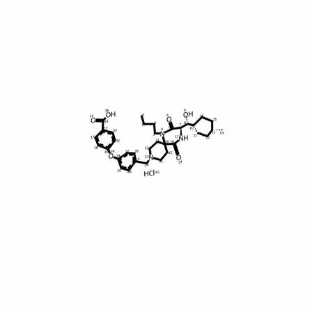 CCCCN1C(=O)[C@@H]([C@H](O)[C@H]2CC[C@@H](C)CC2)NC(=O)C12CCN(Cc1ccc(Oc3ccc(C(=O)O)cc3)cc1)CC2.Cl